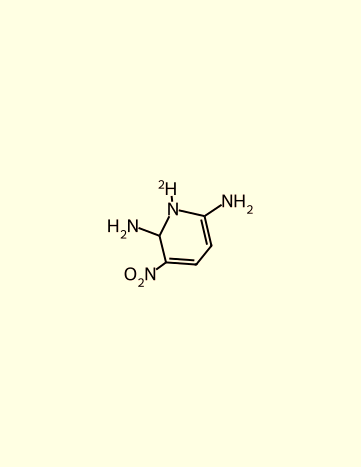 [2H]N1C(N)=CC=C([N+](=O)[O-])C1N